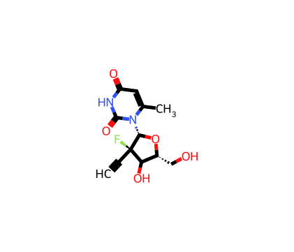 C#C[C@@]1(F)C(O)[C@@H](CO)O[C@H]1n1c(C)cc(=O)[nH]c1=O